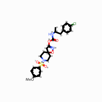 COc1ccc(S(=O)(=O)N2CCC3(CC2)CC(OC(=O)NC(C)Cc2ccc(Cl)cc2)=NO3)cc1